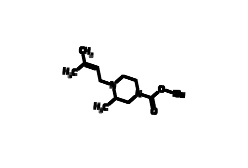 CC(C)=CCN1CCN(C(=O)OC(C)(C)C)CC1C